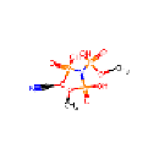 COP(=O)(O)N(P(=O)(O)OC)P(=O)(O)OC#N